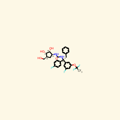 O=C(N[C@H]1C[C@@H](CO)[C@H](O)[C@@H]1O)N[C@](Cc1ccccc1)(c1ccc(F)cc1)c1cc(F)cc(OC(F)(F)C(F)(F)F)c1